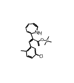 C=C(O[Si](C)(C)C)C(=Cc1cc(Cl)ccc1C)C1=CC=CC=CN1